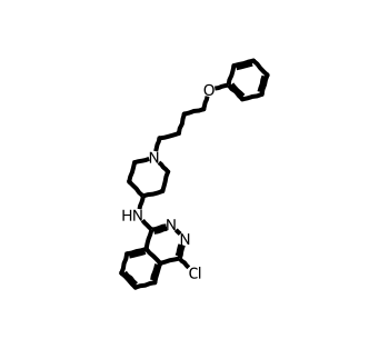 Clc1nnc(NC2CCN(CCCCOc3ccccc3)CC2)c2ccccc12